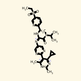 CC/N=C(\C(=C(\C)N)c1ncc(/N=C(/NCc2ccc(S(=O)(=O)CC)cn2)C(=O)N(C)C(C)C)cn1)C1CC1